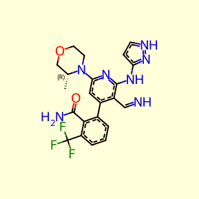 C[C@@H]1COCCN1c1cc(-c2cccc(C(F)(F)F)c2C(N)=O)c(C=N)c(Nc2cc[nH]n2)n1